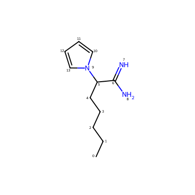 CCCCCC(C(=N)N)n1cccc1